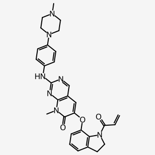 C=CC(=O)N1CCc2cccc(Oc3cc4cnc(Nc5ccc(N6CCN(C)CC6)cc5)nc4n(C)c3=O)c21